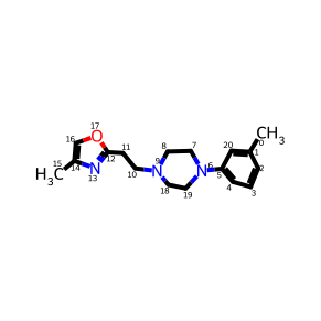 Cc1cccc(N2CCN(CCc3nc(C)co3)CC2)c1